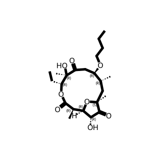 CCCCO[C@@H]1CC(=O)[C@](C)(O)[C@@H](CC)OC(=O)[C@H](C)[C@H]2O[C@@](C)(C[C@H]1C)C(=O)[C@@H]2O